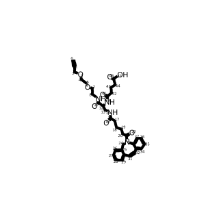 C#CCOCCOCCNC(=O)C(CNC(=O)CCCCC(=O)N1Cc2ccccc2C#Cc2ccccc21)NC(=O)CCCC(=O)O